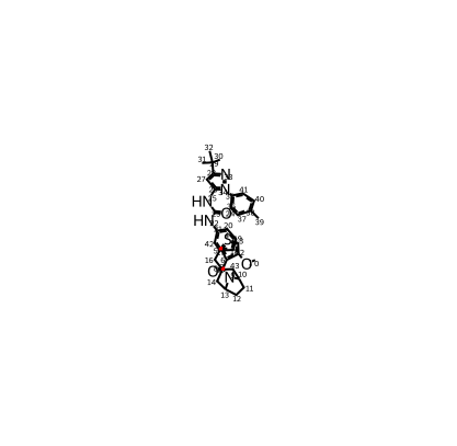 COc1cscc1C(=O)N1C2CCC1CC(Cc1cccc(NC(=O)Nc3cc(C(C)(C)C)nn3-c3ccc(C)cc3)c1)C2